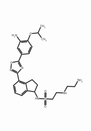 CC(C)Oc1ccc(-c2nc(-c3cccc4c3CCC4NS(=O)(=O)CCNCCN)no2)cc1N